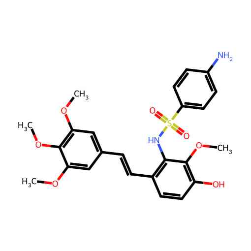 COc1cc(C=Cc2ccc(O)c(OC)c2NS(=O)(=O)c2ccc(N)cc2)cc(OC)c1OC